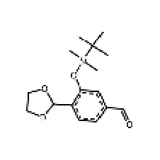 CC(C)(C)[Si](C)(C)Oc1cc(C=O)ccc1C1OCCO1